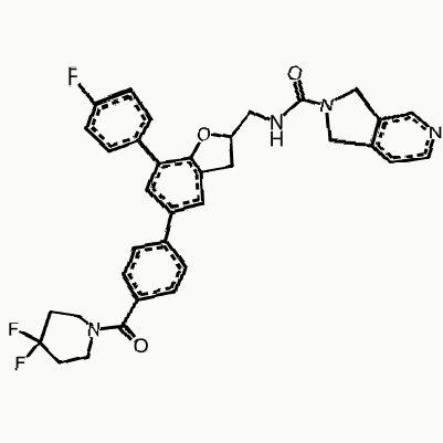 O=C(NCC1Cc2cc(-c3ccc(C(=O)N4CCC(F)(F)CC4)cc3)cc(-c3ccc(F)cc3)c2O1)N1Cc2ccncc2C1